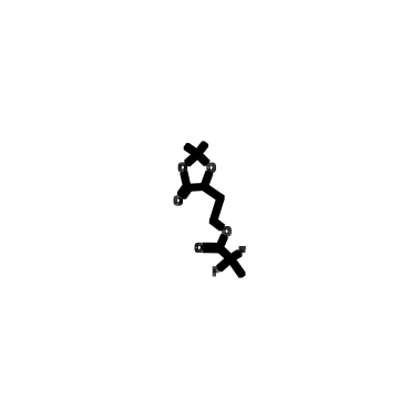 CC1(C)OC(=O)C(CCOC(=O)C(C)(F)F)O1